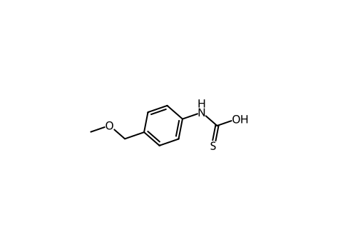 COCc1ccc(NC(O)=S)cc1